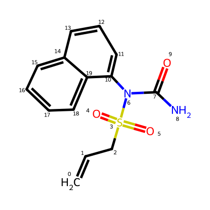 C=CCS(=O)(=O)N(C(N)=O)c1cccc2ccccc12